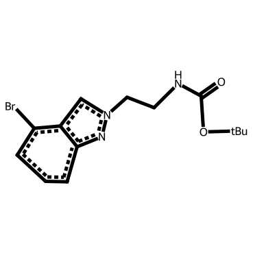 CC(C)(C)OC(=O)NCCn1cc2c(Br)cccc2n1